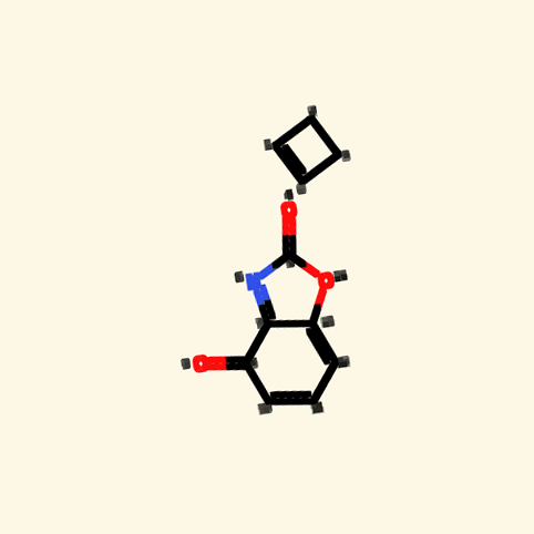 C1=CCC1.O=C1N=C2C(=O)C=CC=C2O1